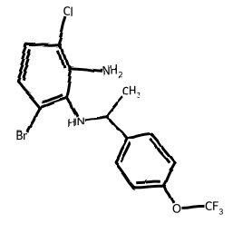 CC(Nc1c(Br)ccc(Cl)c1N)c1ccc(OC(F)(F)F)cc1